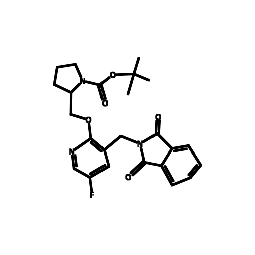 CC(C)(C)OC(=O)N1CCCC1COc1ncc(F)cc1CN1C(=O)c2ccccc2C1=O